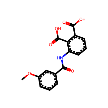 COc1cccc(C(=O)Nc2cccc(C(=O)O)c2C(=O)O)c1